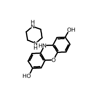 C1CNCCN1.Oc1ccc2c(c1)Nc1ccc(O)cc1O2